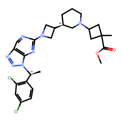 COC(=O)C1(C)CC(N2CCC[C@H](C3CN(c4ncc5nnn([C@@H](C)c6ccc(Cl)cc6Cl)c5n4)C3)C2)C1